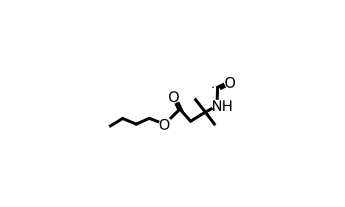 CCCCOC(=O)CC(C)(C)N[C]=O